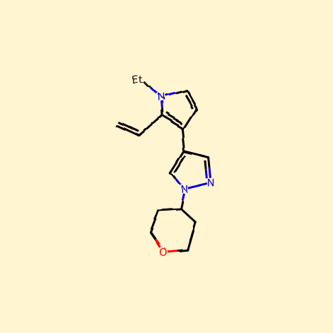 C=Cc1c(-c2cnn(C3CCOCC3)c2)ccn1CC